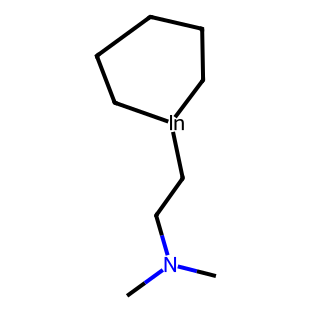 CN(C)C[CH2][In]1[CH2]CCC[CH2]1